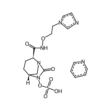 O=C(NOCCn1ccnc1)[C@@H]1CC[C@@H]2CN1C(=O)N2OS(=O)(=O)O.c1ccncc1